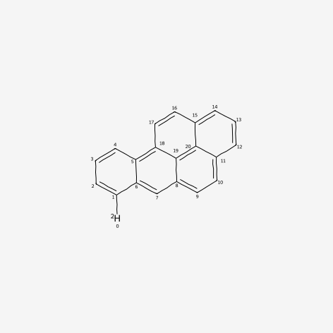 [2H]c1cccc2c1cc1ccc3cccc4ccc2c1c34